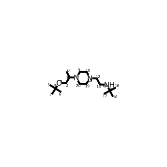 CC(COC(C)(C)C)N1CCN(CCNC(C)(C)C)CC1